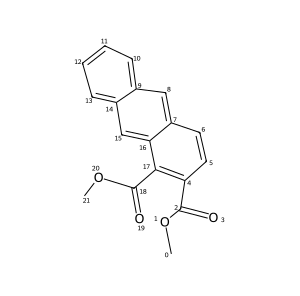 COC(=O)c1ccc2cc3ccccc3cc2c1C(=O)OC